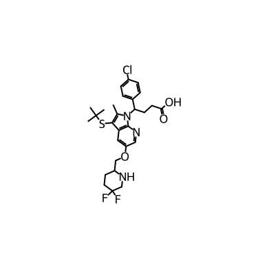 Cc1c(SC(C)(C)C)c2cc(OCC3CCC(F)(F)CN3)cnc2n1C(CCC(=O)O)c1ccc(Cl)cc1